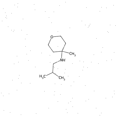 CC(C)CNC1(C)CCOCC1